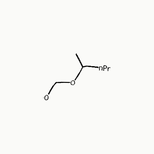 C[CH]CC(C)OC[O]